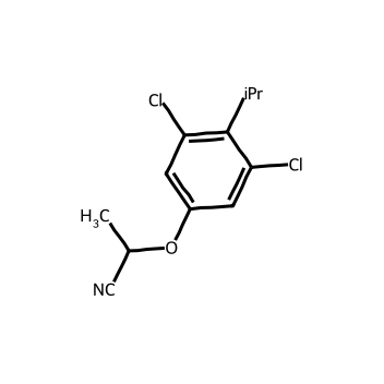 CC(C#N)Oc1cc(Cl)c(C(C)C)c(Cl)c1